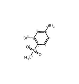 Bc1ccc(S(C)(=O)=O)c(Br)c1